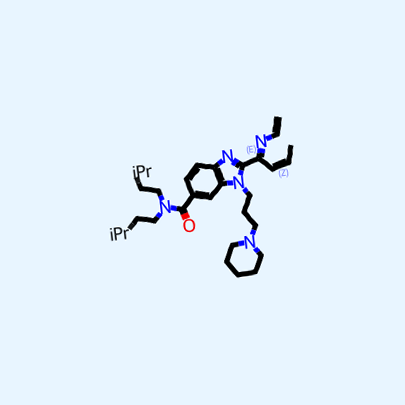 C=C/N=C(\C=C/C)c1nc2ccc(C(=O)N(CCC(C)C)CCC(C)C)cc2n1CCCN1CCCCC1